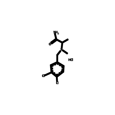 CC(C(N)=O)N(C)Cc1ccc(Cl)c(Cl)c1.Cl